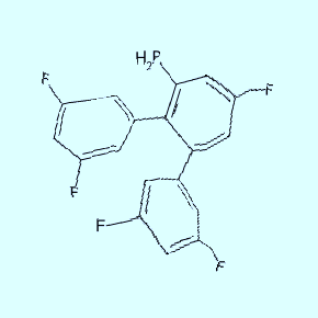 Fc1cc(F)cc(-c2cc(F)cc(P)c2-c2cc(F)cc(F)c2)c1